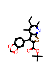 CCc1c(C)nc2sc(C(=O)OC(C)(C)C)c(-c3ccc4c(c3)OCO4)c2c1C